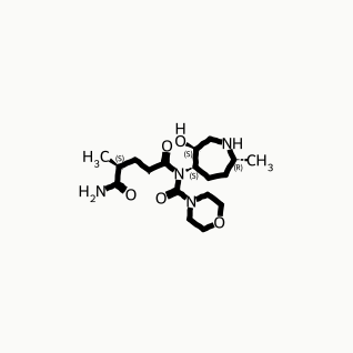 C[C@@H]1CC[C@H](N(C(=O)[CH]C[C@H](C)C(N)=O)C(=O)N2CCOCC2)[C@@H](O)CN1